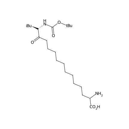 CC[C@H](C)[C@H](NC(=O)OC(C)(C)C)C(=O)CCCCCCCCCCC(N)C(=O)O